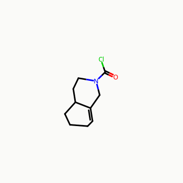 O=C(Cl)N1CCC2CCCC=C2C1